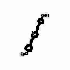 CCOc1ccc(C#Cc2ccc(C#Cc3ccc(OCC)cc3)nn2)cc1